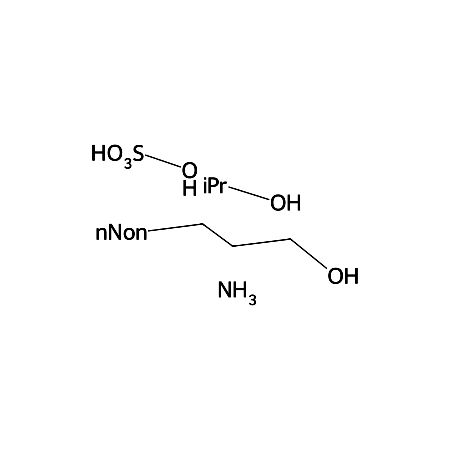 CC(C)O.CCCCCCCCCCCCO.N.O=S(=O)(O)O